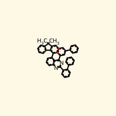 CC1(C)c2ccccc2-c2c(-c3cccc4nc(-c5ccccc5-c5ccccc5)nc(-c5cccc(-c6ccccc6)c5)c34)cccc21